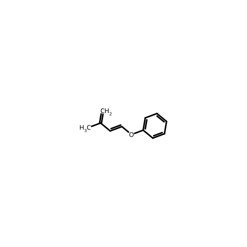 C=C(C)C=COc1ccccc1